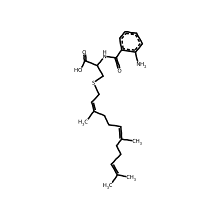 CC(C)=CCCC(C)=CCCC(C)=CCSCC(NC(=O)c1ccccc1N)C(=O)O